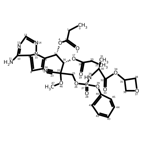 CCC(=O)O[C@@H](c1ccc2c(N)ncnn12)[C@H](OC(=O)CC)C(C#N)(COP(=O)(N[C@@H](C)C(=O)OC1COC1)Oc1ccccc1)OC